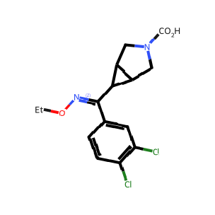 CCO/N=C(\c1ccc(Cl)c(Cl)c1)C1C2CN(C(=O)O)CC21